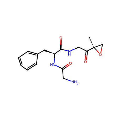 C[C@]1(C(=O)CNC(=O)[C@H](Cc2ccccc2)NC(=O)CN)CO1